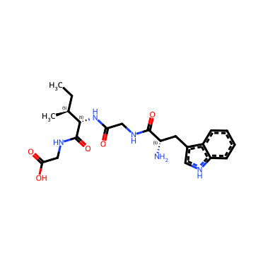 CC[C@H](C)[C@H](NC(=O)CNC(=O)[C@@H](N)Cc1c[nH]c2ccccc12)C(=O)NCC(=O)O